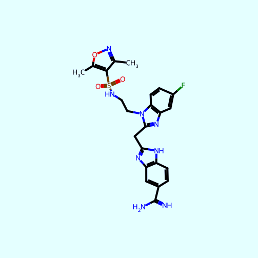 Cc1noc(C)c1S(=O)(=O)NCCn1c(Cc2nc3cc(C(=N)N)ccc3[nH]2)nc2cc(F)ccc21